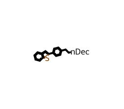 CCCCCCCCCCCCc1ccc(-c2cc3ccccc3s2)cc1